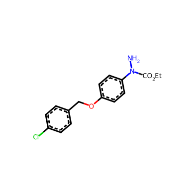 CCOC(=O)N(N)c1ccc(OCc2ccc(Cl)cc2)cc1